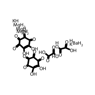 O=C(O)C(=O)O.O=C(O)C(=O)O.O=c1c(O)c(O)c(=O)c(=O)c1=O.O=c1c(O)c(O)c(=O)c(=O)c1=O.[BaH2].[KH].[KH].[MgH2].[MgH2].[MgH2]